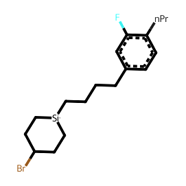 CCCc1ccc(CCCC[Si]2CCC(Br)CC2)cc1F